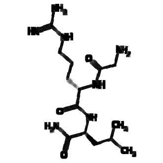 CC(C)C[C@H](NC(=O)[C@H](CCCNC(=N)N)NC(=O)CN)C(N)=O